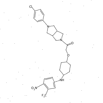 O=C(COC1CCC(Nc2ccc([N+](=O)[O-])c(C(F)(F)F)c2)CC1)N1CC2CN(c3ccc(Cl)cc3)CC2C1